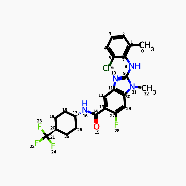 Cc1cccc(Cl)c1Nc1nc2cc(C(=O)N[C@H]3CC[C@H](C(F)(F)F)CC3)c(F)cc2n1C